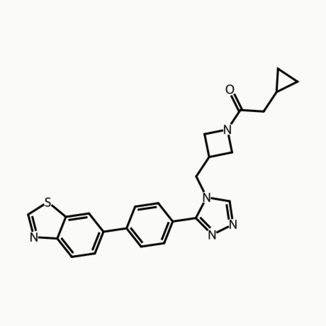 O=C(CC1CC1)N1CC(Cn2cnnc2-c2ccc(-c3ccc4ncsc4c3)cc2)C1